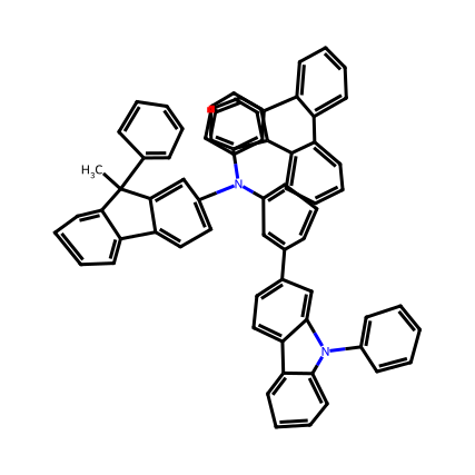 CC1(c2ccccc2)c2ccccc2-c2ccc(N(c3cccc(-c4ccc5c6ccccc6n(-c6ccccc6)c5c4)c3)c3ccccc3-c3ccccc3-c3ccccc3-c3ccccc3)cc21